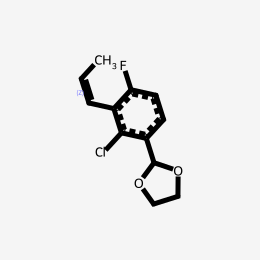 C/C=C\c1c(F)ccc(C2OCCO2)c1Cl